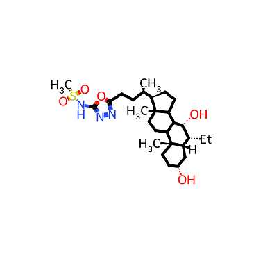 CC[C@H]1[C@@H](O)C2C3CC[C@H]([C@H](C)CCc4nnc(NS(C)(=O)=O)o4)[C@@]3(C)CCC2[C@@]2(C)CC[C@@H](O)C[C@@H]12